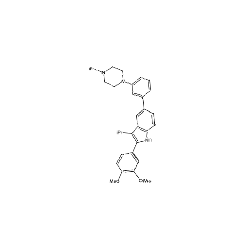 COc1ccc(-c2[nH]c3ccc(-c4cccc(N5CCN(C(C)C)CC5)c4)cc3c2C(C)C)cc1OC